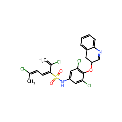 C=C(Cl)/C(=C\C=C(/C)Cl)S(=O)(=O)Nc1cc(Cl)c(OC2C=Nc3ccccc3C2)c(Cl)c1